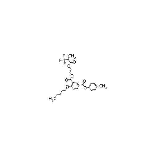 C=C(C(=O)OCCOC(=O)c1cc(C(=O)Oc2ccc(C)cc2)ccc1OCCCCC)C(F)(F)F